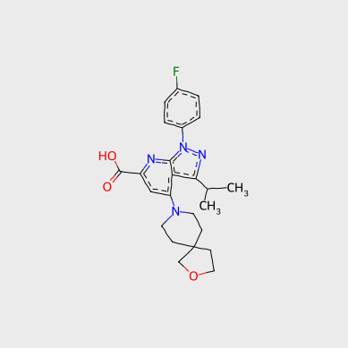 CC(C)c1nn(-c2ccc(F)cc2)c2nc(C(=O)O)cc(N3CCC4(CCOC4)CC3)c12